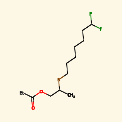 CCC(=O)OCC(C)SCCCCCCC(F)F